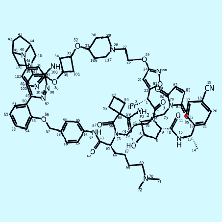 CC(C)[C@@H](C(=O)N1C[C@H](O)C[C@H]1C(=O)N[C@@H](C)c1ccc(C#N)cc1)c1cc(OCCN2CCC(OC3CC(Oc4cc(N5C6CCC5CN(c5cc(-c7ccccc7OCc7ccc(NC(=O)[C@H](CCCCN(C)C)N(CCCCCN8C(=O)C=CC8=O)C(=O)C8(C(N)=O)CCC8)cc7)nnc5N)C6)ccn4)C3)CC2)no1